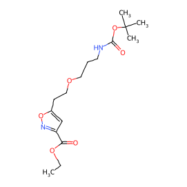 CCOC(=O)c1cc(CCOCCCNC(=O)OC(C)(C)C)on1